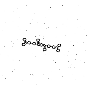 c1ccc(N(c2ccccc2)c2ccc(-c3ccc(-c4cc5cc6c(cc(-c7ccc(-c8ccc(N(c9ccccc9)c9ccccc9)cc8)cc7)n6-c6ccccc6)cc5n4-c4ccccc4)cc3)cc2)cc1